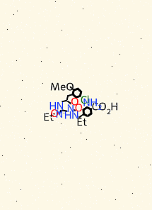 CCO/N=C1/CN(C(=O)NC(CC)c2ccc(C(=O)O)c(N)c2)C(=O)C(Cc2cc(Cl)ccc2OC)CN1